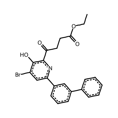 CCOC(=O)CCC(=O)c1nc(-c2cccc(-c3ccccc3)c2)cc(Br)c1O